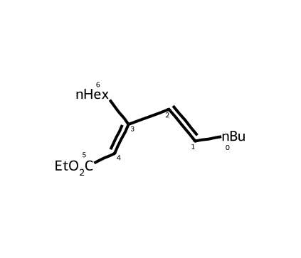 CCCCC=CC(=CC(=O)OCC)CCCCCC